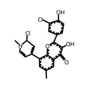 Cc1cc(C2=CC(Cl)N(C)C=C2)c2oc(-c3ccc(O)c(Cl)c3)c(O)c(=O)c2c1